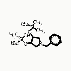 CC(C)(C)[Si](C)(C)OC1CN(Cc2ccccc2)CC1O[Si](C)(C)C(C)(C)C